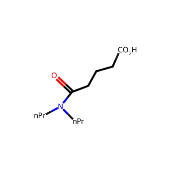 CCCN(CCC)C(=O)CCCC(=O)O